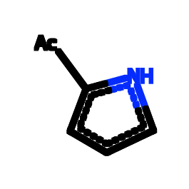 [Ac][c]1ccc[nH]1